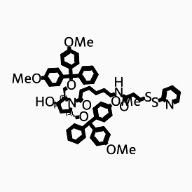 COc1ccc(C(OC[C@@H]2C[C@@H](O)[C@@H](COC(c3ccccc3)(c3ccc(OC)cc3)c3ccc(OC)cc3)N2C(=O)CCCCCNC(=O)CCSSc2ccccn2)(c2ccccc2)c2ccc(OC)cc2)cc1